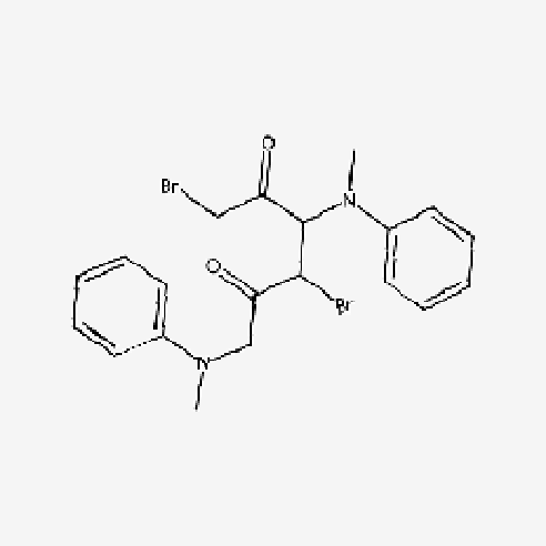 CN(CC(=O)C(Br)C(C(=O)CBr)N(C)c1ccccc1)c1ccccc1